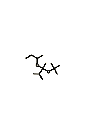 CCC(C)O[Si](C)(O[Si](C)(C)C)C(C)C